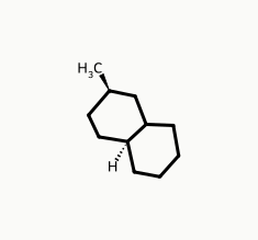 C[C@@H]1CC[C@@H]2CCCCC2C1